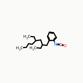 CCCCC(CC)CC(CC)Cc1ccccc1N=C=O